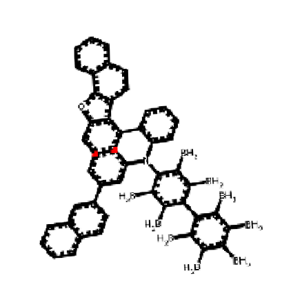 Bc1c(B)c(B)c(-c2c(B)c(B)c(N(c3cccc(-c4ccc5ccccc5c4)c3)c3ccccc3-c3cccc4oc5c6ccccc6ccc5c34)c(B)c2B)c(B)c1B